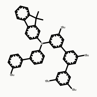 CC(C)(C)c1cccc(-c2cccc(N(c3cc(-c4cc(-c5cc(C(C)(C)C)cc(C(C)(C)C)c5)cc(C(C)(C)C)c4)cc(C(C)(C)C)c3)c3ccc4c(c3)C(C)(C)c3ccccc3-4)c2)c1